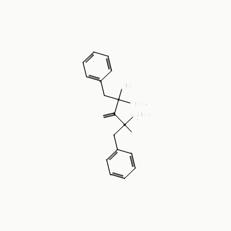 CCCCCCC(O)(Cc1ccccc1)C(=O)C(O)(CCCCCC)Cc1ccccc1